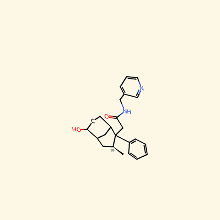 C[C@H]1CC2CC(CCC2O)C1(CC(=O)NCc1cccnc1)c1ccccc1